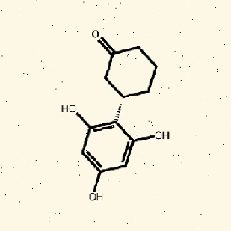 O=C1CCC[C@H](c2c(O)cc(O)cc2O)C1